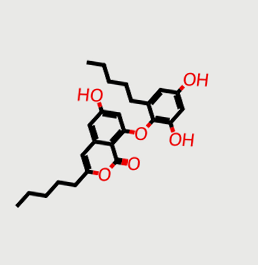 CCCCCc1cc2cc(O)cc(Oc3c(O)cc(O)cc3CCCCC)c2c(=O)o1